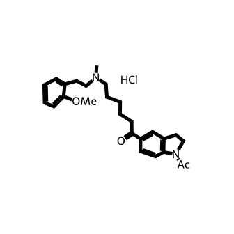 COc1ccccc1CCN(C)CCCCCC(=O)c1ccc2c(c1)CCN2C(C)=O.Cl